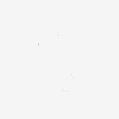 COc1ncccc1C1=CCN(C(=O)O)CC1